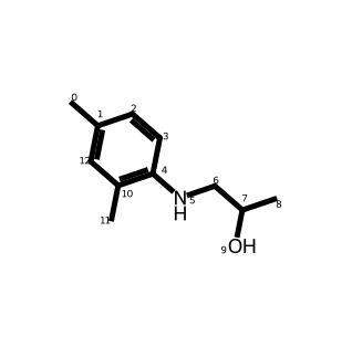 Cc1ccc(NCC(C)O)c(C)c1